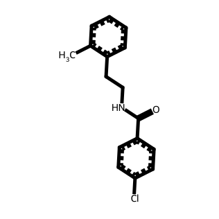 Cc1ccccc1CCNC(=O)c1ccc(Cl)cc1